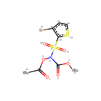 CC(C)(C)OC(=O)N(OC(=O)C(C)(C)C)S(=O)(=O)c1sccc1Br